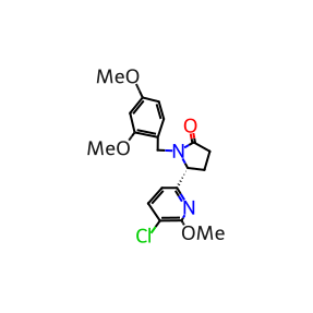 COc1ccc(CN2C(=O)CC[C@@H]2c2ccc(Cl)c(OC)n2)c(OC)c1